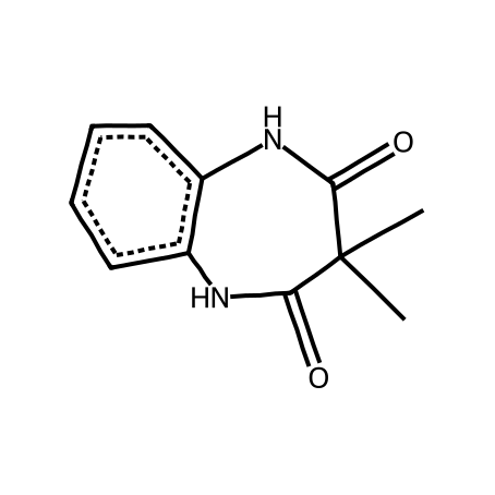 CC1(C)C(=O)Nc2ccccc2NC1=O